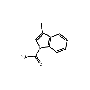 Cc1cn(C(N)=O)c2ccncc12